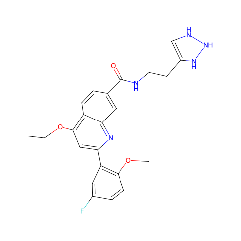 CCOc1cc(-c2cc(F)ccc2OC)nc2cc(C(=O)NCCC3=CNNN3)ccc12